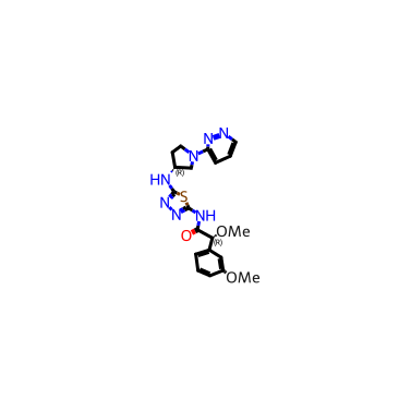 COc1cccc([C@@H](OC)C(=O)Nc2nnc(N[C@@H]3CCN(c4cccnn4)C3)s2)c1